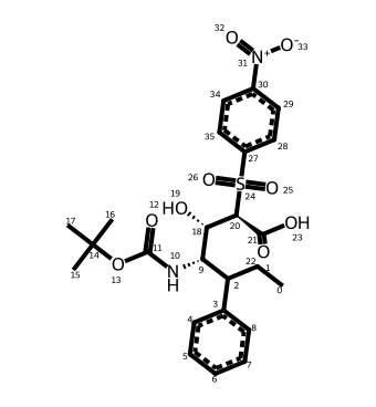 CCC(c1ccccc1)[C@H](NC(=O)OC(C)(C)C)[C@H](O)[C@H](C(=O)O)S(=O)(=O)c1ccc([N+](=O)[O-])cc1